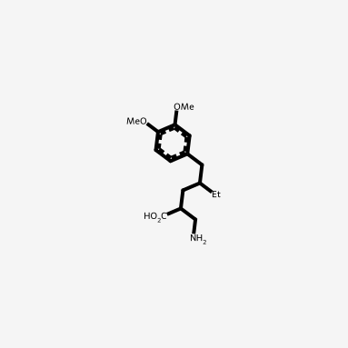 CCC(Cc1ccc(OC)c(OC)c1)CC(CN)C(=O)O